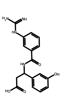 N=C(N)Nc1cccc(C(=O)NC(CC(=O)O)c2cccc(O)c2)c1